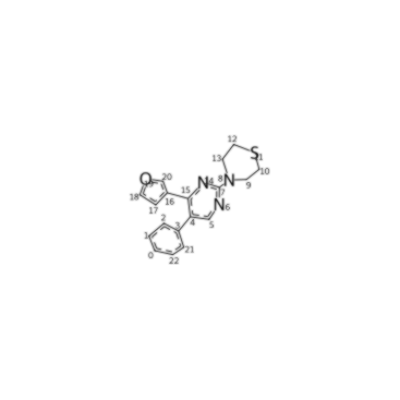 c1ccc(-c2cnc(N3CCSCC3)nc2-c2ccoc2)cc1